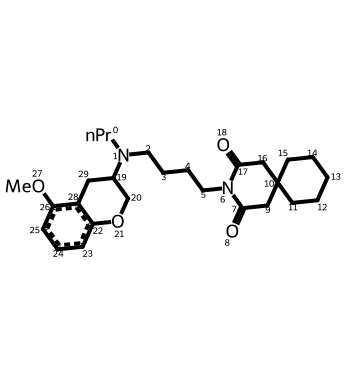 CCCN(CCCCN1C(=O)CC2(CCCCC2)CC1=O)C1COc2cccc(OC)c2C1